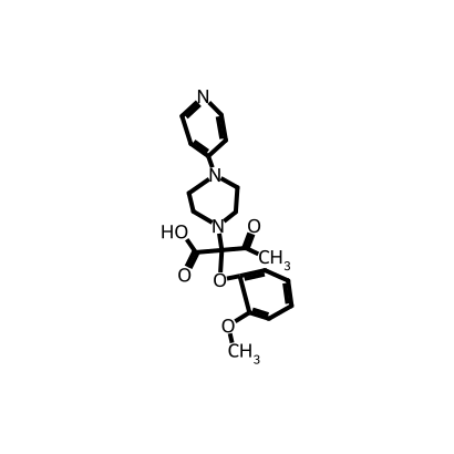 COc1ccccc1OC(C(C)=O)(C(=O)O)N1CCN(c2ccncc2)CC1